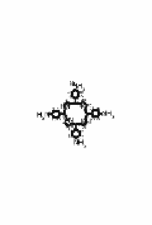 Nc1ccc(-c2c3nc(c(-c4ccc(N)cc4)c4ccc([nH]4)c(-c4ccc(N)cc4)c4nc(c(-c5ccc(N)cc5)c5ccc2[nH]5)C=C4)C=C3)cc1.[Ni]